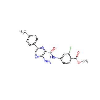 COC(=O)c1ccc(NC(=O)c2nc(-c3ccc(C)cc3)cnc2N)cc1F